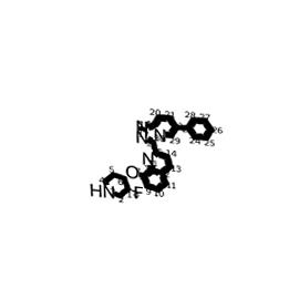 F[C@@H]1CNCC[C@@H]1Oc1cccc2ccc(-c3nnc4ccc(-c5ccccc5)cn34)nc12